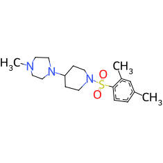 Cc1ccc(S(=O)(=O)N2CCC(N3CCN(C)CC3)CC2)c(C)c1